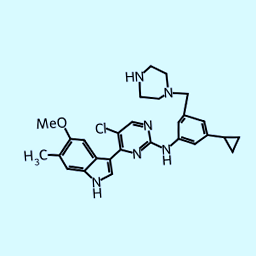 COc1cc2c(-c3nc(Nc4cc(CN5CCNCC5)cc(C5CC5)c4)ncc3Cl)c[nH]c2cc1C